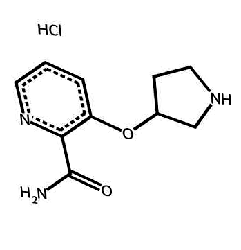 Cl.NC(=O)c1ncccc1OC1CCNC1